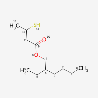 CCCCC(CC)COC(=O)CC(C)S